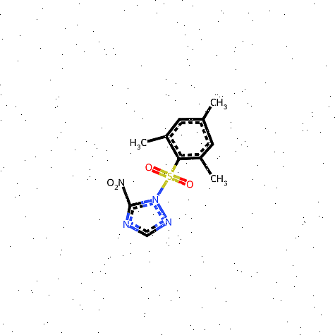 Cc1cc(C)c(S(=O)(=O)n2ncnc2[N+](=O)[O-])c(C)c1